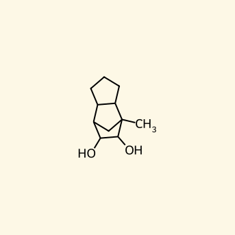 CC12CC(C(O)C1O)C1CCCC12